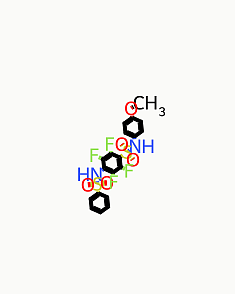 COc1ccc(NS(=O)(=O)c2c(F)c(F)c(NS(=O)(=O)c3ccccc3)c(F)c2F)cc1